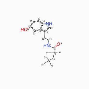 CC(C)(C)CC(C)(C)C(=O)NCCc1c[nH]c2ccc(O)cc12